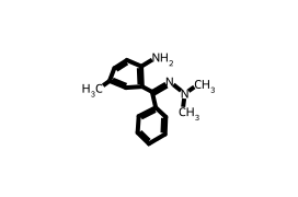 Cc1ccc(N)c(/C(=N/N(C)C)c2ccccc2)c1